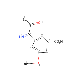 CCCOc1cc(C(=N)C(=O)CC)cc(C(=O)O)c1